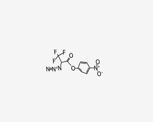 [N-]=[N+]=NC(C(=O)Oc1ccc([N+](=O)[O-])cc1)C(F)(F)F